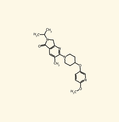 COc1ccc(OC2CCN(c3nc4c(cc3C)C(=O)N(C(C)C)C4)CC2)cn1